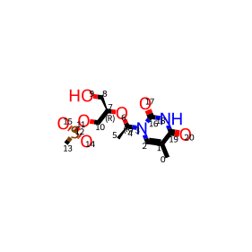 Cc1cn([C@@H](C)O[C@H](CO)COS(C)(=O)=O)c(=O)[nH]c1=O